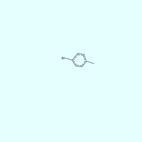 [CH2]c1ccc(C(C)=O)cc1